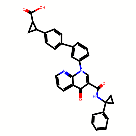 O=C(NC1(c2ccccc2)CC1)c1cn(-c2cccc(-c3ccc(C4CC4C(=O)O)cc3)c2)c2ncccc2c1=O